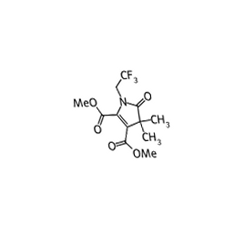 COC(=O)C1=C(C(=O)OC)C(C)(C)C(=O)N1CC(F)(F)F